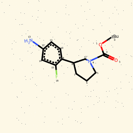 CC(C)(C)OC(=O)N1CCCC(c2ccc(N)cc2F)C1